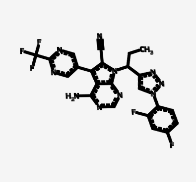 CCC(c1cn(-c2ccc(F)cc2F)nn1)n1c(C#N)c(-c2cnc(C(F)(F)F)nc2)c2c(N)ncnc21